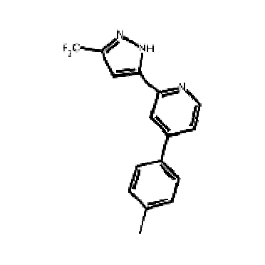 Cc1ccc(-c2ccnc(-c3cc(C(F)(F)F)n[nH]3)c2)cc1